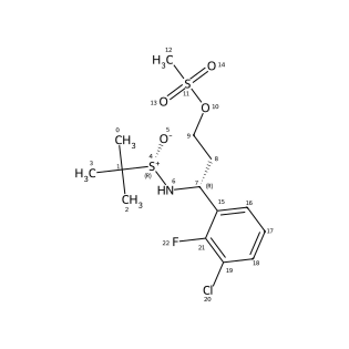 CC(C)(C)[S@+]([O-])N[C@H](CCOS(C)(=O)=O)c1cccc(Cl)c1F